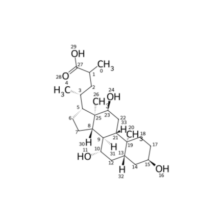 CC(C[C@@H](C)[C@H]1CC[C@H]2[C@@H]3[C@@H](O)C[C@H]4C[C@H](O)CC[C@]4(C)[C@H]3C[C@H](O)[C@]12C)C(=O)O